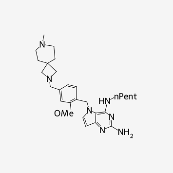 CCCCCNc1nc(N)nc2ccn(Cc3ccc(CN4CC5(CCN(C)CC5)C4)cc3OC)c12